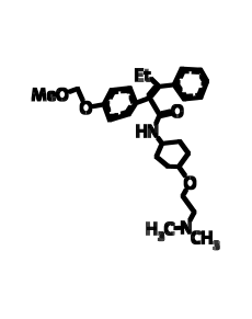 CCC(=C(C(=O)NC1CCC(OCCN(C)C)CC1)c1ccc(OCOC)cc1)c1ccccc1